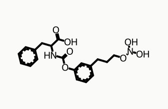 O=C(NC(Cc1ccccc1)C(=O)O)Oc1cccc(CCCON(O)O)c1